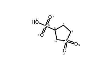 O=S1(=O)CCC(S(=O)(=O)O)C1